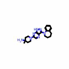 CC1(N)CCN(c2cnc3c(N4CCCCc5ccccc54)n[nH]c3n2)CC1